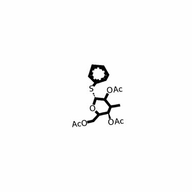 CC(=O)OCC1O[C@H](Sc2ccccc2)C(OC(C)=O)C(C)[C@H]1OC(C)=O